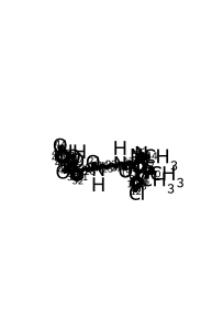 Cc1sc2c(c1C)C(c1ccc(Cl)cc1)=NC(CC(=O)NCCCCNC(=O)CCc1cccc3c1C(=O)N([C@H]1CCCC(=O)NC1=O)C3=O)c1nnc(C)n1-2